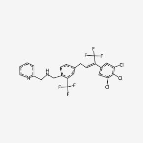 FC(F)(F)C(=CCc1ccc(CNCc2ccccn2)c(C(F)(F)F)c1)c1cc(Cl)c(Cl)c(Cl)c1